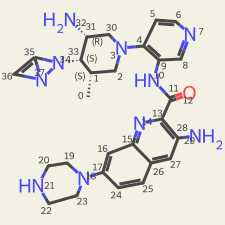 C[C@H]1CN(c2ccncc2NC(=O)c2nc3cc(N4CCNCC4)ccc3cc2N)C[C@@H](N)[C@H]1n1c2cn1-2